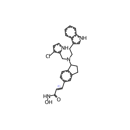 O=C(/C=C/c1ccc2c(c1)CCC2N(CCc1c[nH]c2ccccc12)Cc1[nH]ccc1Cl)NO